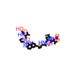 COC(=O)NC(C(=O)N1C[Si](C)(C)CC1c1ncc(-c2ccc(-c3ccc4c(ccc5nc([C@@H]6CCCN6C(=O)C(NC(=O)CO)C(C)C)[nH]c54)c3)s2)[nH]1)C(C)C